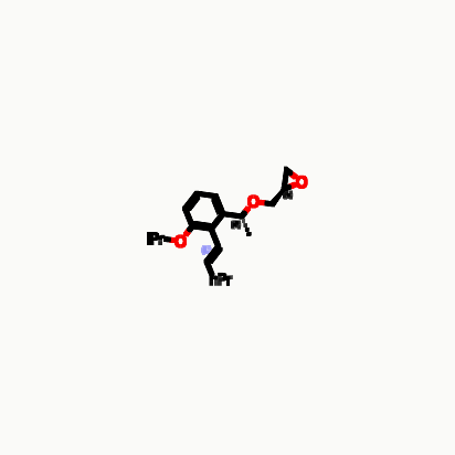 CCC/C=C/c1c(OC(C)C)cccc1[C@@H](C)OC[C@H]1CO1